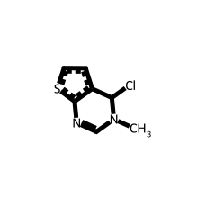 CN1C=Nc2sccc2C1Cl